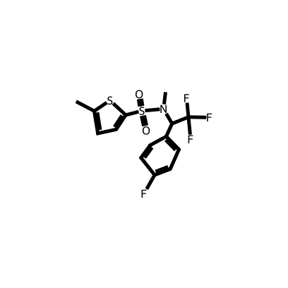 Cc1ccc(S(=O)(=O)N(C)C(c2ccc(F)cc2)C(F)(F)F)s1